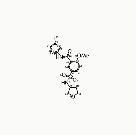 COc1ccc(S(=O)(=O)NC2CCOC2)cc1C(=O)Nc1ncc(C)s1